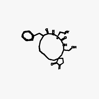 CC(C)C[C@@H]1NC(=O)C(Cc2ccccc2)CCCCCCC2(CCNC2=O)CC(CO)NC1=O